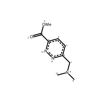 COC(=O)c1ccc(CN(C)C)nn1